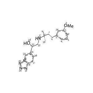 COc1cccc(CCC(C)(C)NCC(O)c2ccc3nnnn3c2)c1